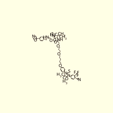 CC(C)(C)[C@H](NC(=O)COCCCOCCCCCOc1ccc(N2C(=S)N(c3ccc(C#N)c(C(F)(F)F)c3)C(=O)C2(C)C)cc1)C(=O)N1CCC[C@H]1C(=O)NCc1ccc(-c2cnco2)cc1